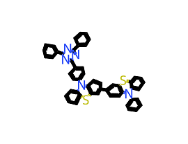 c1ccc(-c2nc(-c3ccccc3)nc(-c3ccc(N4c5ccccc5Sc5cc(-c6ccc7c(c6)Sc6ccccc6N7c6ccccc6)ccc54)cc3)n2)cc1